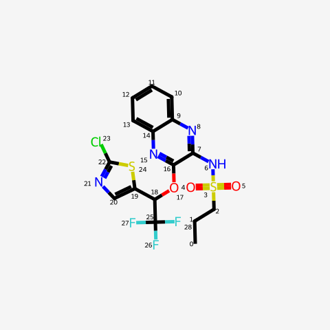 CCCS(=O)(=O)Nc1nc2ccccc2nc1OC(c1cnc(Cl)s1)C(F)(F)F